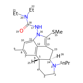 CCCN1CCC[C@@H]2c3cc(C)cc4c3c(c(SC)n4NC(=O)N(CC)CC)C[C@H]21